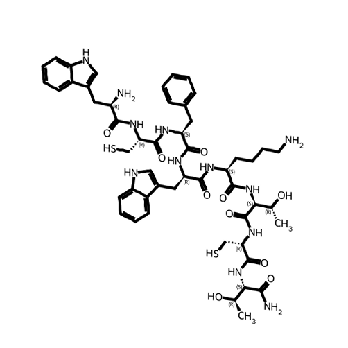 C[C@@H](O)[C@H](NC(=O)[C@H](CS)NC(=O)[C@@H](NC(=O)[C@H](CCCCN)NC(=O)[C@@H](Cc1c[nH]c2ccccc12)NC(=O)[C@H](Cc1ccccc1)NC(=O)[C@H](CS)NC(=O)[C@H](N)Cc1c[nH]c2ccccc12)[C@@H](C)O)C(N)=O